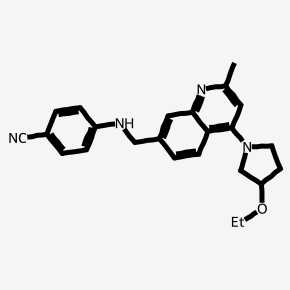 CCOC1CCN(c2cc(C)nc3cc(CNc4ccc(C#N)cc4)ccc23)C1